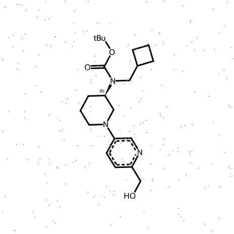 CC(C)(C)OC(=O)N(CC1CCC1)[C@@H]1CCCN(c2ccc(CO)nc2)C1